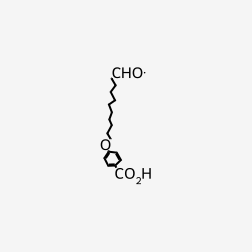 O=[C]CCCCCCCCCCOc1ccc(C(=O)O)cc1